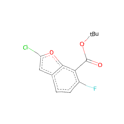 CC(C)(C)OC(=O)c1c(F)ccc2cc(Cl)oc12